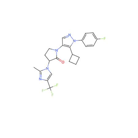 Cc1nc(C(F)(F)F)cn1C1CCN(c2cnn(-c3ccc(F)cc3)c2C2CCC2)C1=O